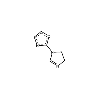 C1=NCCN1c1ncco1